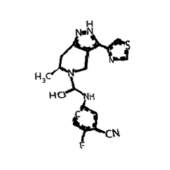 C[C@H]1Cc2n[nH]c(-c3cscn3)c2CN1C(O)Nc1ccc(F)c(C#N)c1